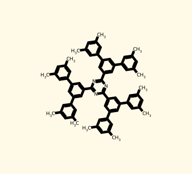 Cc1cc(C)cc(-c2cc(-c3cc(C)cc(C)c3)cc(-c3nc(-c4cc(-c5cc(C)cc(C)c5)cc(-c5cc(C)cc(C)c5)c4)nc(-c4cc(-c5cc(C)cc(C)c5)cc(-c5cc(C)cc(C)c5)c4)n3)c2)c1